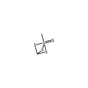 CS12(=S)SC(S1)S2